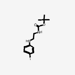 CC(C)(C)OC(=O)NCCNc1ccc(I)cc1